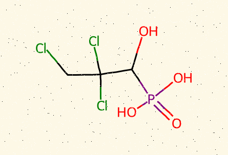 O=P(O)(O)C(O)C(Cl)(Cl)CCl